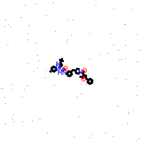 Cc1ccc(-n2nc(C(C)(C)C)cc2NC(=O)Nc2cccc(CC3CCN(C(=O)c4cc(-c5ccccc5)oc4C)CC3)c2)cc1